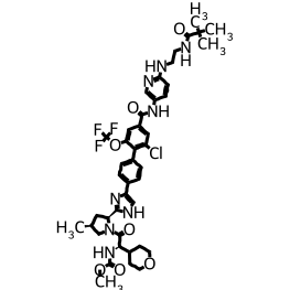 COC(=O)N[C@H](C(=O)N1C[C@@H](C)C[C@H]1c1nc(-c2ccc(-c3c(Cl)cc(C(=O)Nc4ccc(NCCNC(=O)C(C)(C)C)nc4)cc3OC(F)(F)F)cc2)c[nH]1)C1CCOCC1